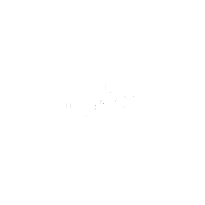 CC(C)(C)OC(=O)N1Cc2ccc(Cl)cc2C(F)(F)C1